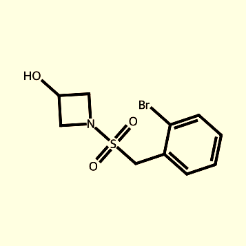 O=S(=O)(Cc1ccccc1Br)N1CC(O)C1